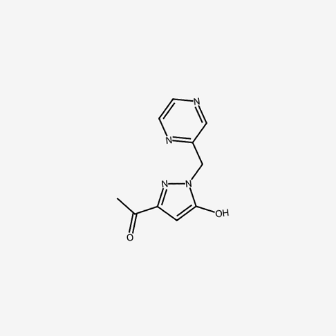 CC(=O)c1cc(O)n(Cc2cnccn2)n1